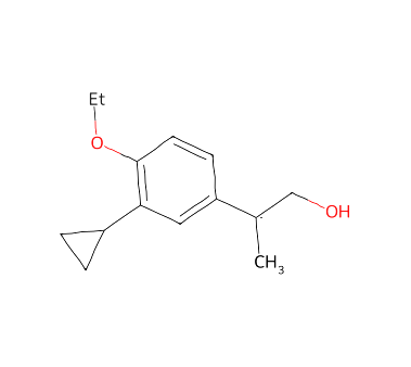 CCOc1ccc([C](C)CO)cc1C1CC1